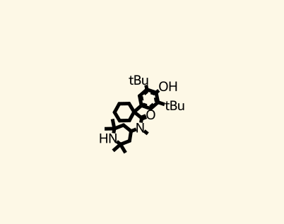 CN(C(=O)C1(c2cc(C(C)(C)C)c(O)c(C(C)(C)C)c2)CCCCC1)C1CC(C)(C)NC(C)(C)C1